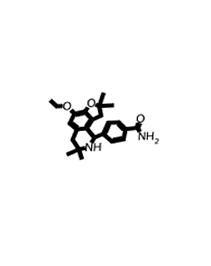 CCOc1cc2c(c3c1OC(C)(C)C3)C(c1ccc(C(N)=O)cc1)NC(C)(C)C2